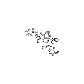 COc1cc(-c2cccc(F)c2)c(Cl)cc1-c1nccc2cc(SCc3ccccc3)c(F)cc12